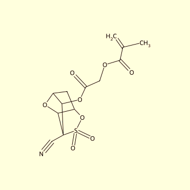 C=C(C)C(=O)OCC(=O)OC1C2CC3OS(=O)(=O)C1(C#N)C3O2